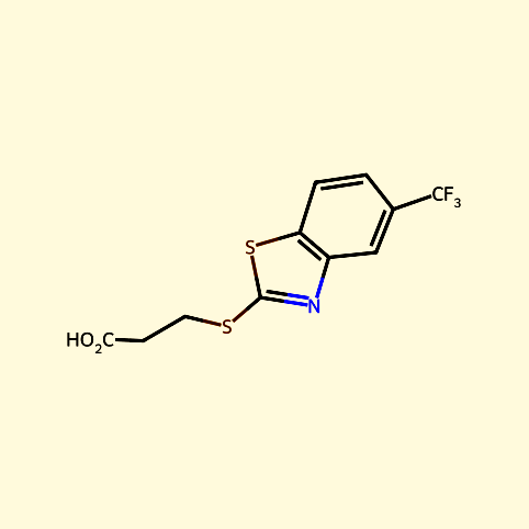 O=C(O)CCSc1nc2cc(C(F)(F)F)ccc2s1